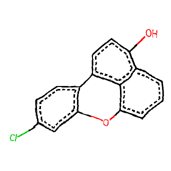 Oc1ccc2c3c(cccc13)Oc1cc(Cl)ccc1-2